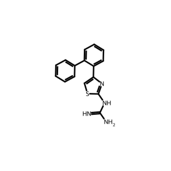 N=C(N)Nc1nc(-c2ccccc2-c2ccccc2)cs1